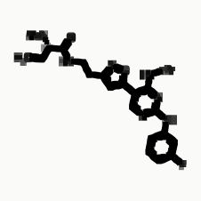 C=C[C@H](NC)C(=O)NCCc1cc(-c2cnc(Nc3cccc(F)c3)nc2NCCC)on1